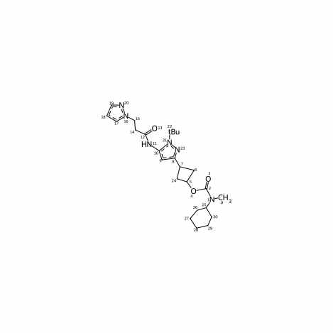 CN(C(=O)OC1CC(c2cc(NC(=O)CCn3cccn3)n(C(C)(C)C)n2)C1)C1CCCCC1